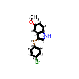 COc1ccc2[nH]cc(Sc3ccc(Br)cc3)c2c1